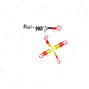 O=S(=O)([O-])O.O=S(=O)([O-])[O-].[Ba+2].[Na+]